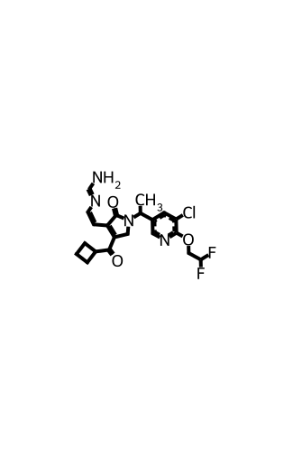 CC(c1cnc(OCC(F)F)c(Cl)c1)N1CC(C(=O)C2CCC2)=C(/C=C\N=C\N)C1=O